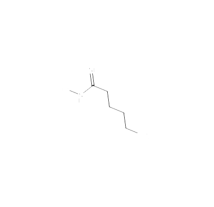 N=C(CCCCC(=O)O)NO